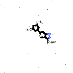 CC(=O)Nc1n[nH]c2cc(-c3cc(C)cc(C)c3)ccc12